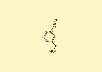 N#Cc1[c]c(CO)ccc1